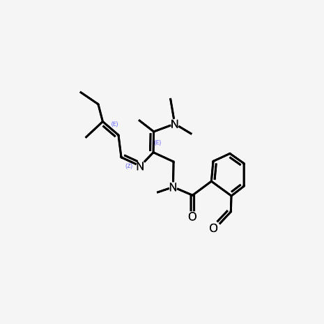 CC/C(C)=C/C=N\C(CN(C)C(=O)c1ccccc1C=O)=C(/C)N(C)C